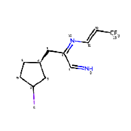 N=C/C(C[C@@H]1CCC(I)C1)=N\C=C\C(F)(F)F